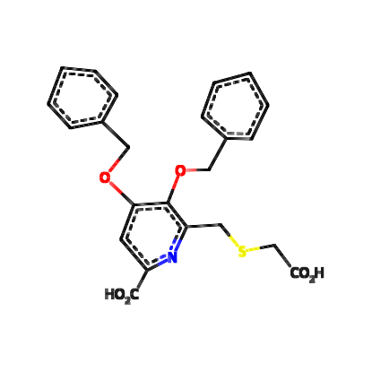 O=C(O)CSCc1nc(C(=O)O)cc(OCc2ccccc2)c1OCc1ccccc1